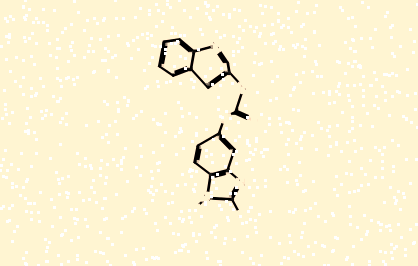 CC(C)n1c(C(F)(F)F)nc2cc(OC(=O)Nc3cnc4ccccc4c3)ccc21